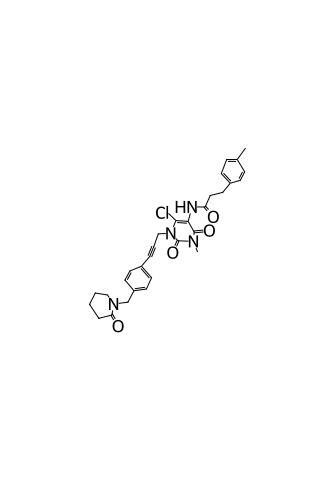 Cc1ccc(CCC(=O)Nc2c(Cl)n(CC#Cc3ccc(CN4CCCCC4=O)cc3)c(=O)n(C)c2=O)cc1